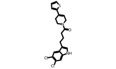 O=C(CCCc1c[nH]c2cc(Cl)c(Cl)cc12)N1CC=C(c2cccs2)CC1